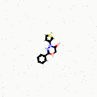 O=C1COC(c2ccccc2)=NN1c1ccsc1